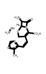 CC(C)(C)N.Cc1ncsc1/C=C\C1=C(C(=O)O)N2C(=O)C(N)[C@@H]2SC1